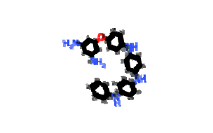 Nc1cc(N)cc(Oc2ccc(Nc3ccc(Nc4ccc(Nc5ccccc5)cc4)cc3)cc2)c1